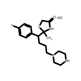 CC1(C(CCCN2CCNCC2)c2ccc(F)cc2)NC(=O)CS1.Cl